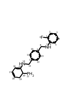 Fc1ccccc1NCc1ccc(CNC2=CC=CCC2P)cc1